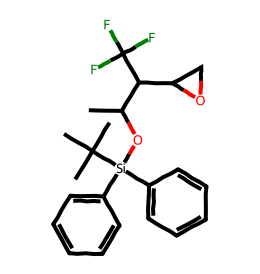 CC(O[Si](c1ccccc1)(c1ccccc1)C(C)(C)C)C(C1CO1)C(F)(F)F